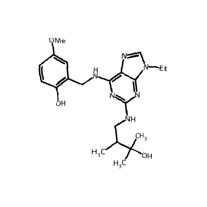 CCn1cnc2c(NCc3cc(OC)ccc3O)nc(NCC(C)C(C)(C)O)nc21